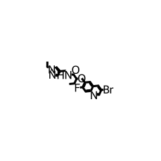 CCC(Oc1cc2cc(Br)cnc2cc1F)C(=O)NCc1cnn(CC)c1